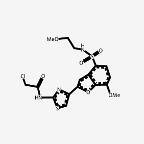 COCCNS(=O)(=O)c1ccc(OC)c2oc(-c3csc(NC(=O)CCl)n3)cc12